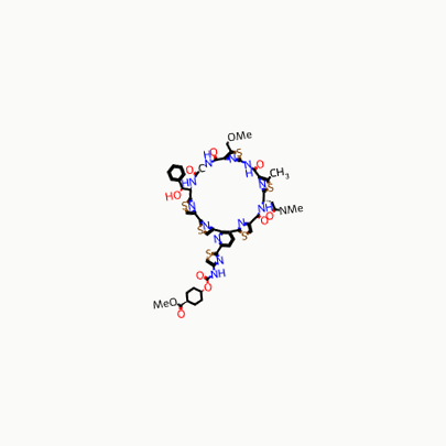 CNC(=O)C[C@@H]1NC(=O)c2csc(n2)-c2ccc(-c3nc(NC(=O)O[C@H]4CC[C@H](C(=O)OC)CC4)cs3)nc2-c2csc(n2)-c2csc(n2)[C@H]([C@@H](O)c2ccccc2)NC(=O)CNC(=O)c2nc(sc2COC)NC(=O)c2nc1sc2C